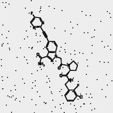 NC(=O)c1nn(CC(=O)N2CCC[C@H]2C(=O)NCc2cccc(Cl)c2F)c2ccc(C#Cc3ncc(F)cn3)cc12